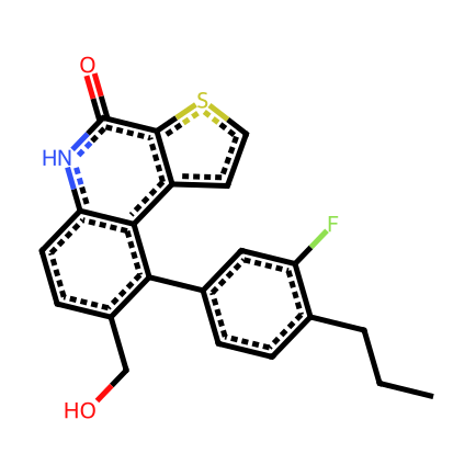 CCCc1ccc(-c2c(CO)ccc3[nH]c(=O)c4sccc4c23)cc1F